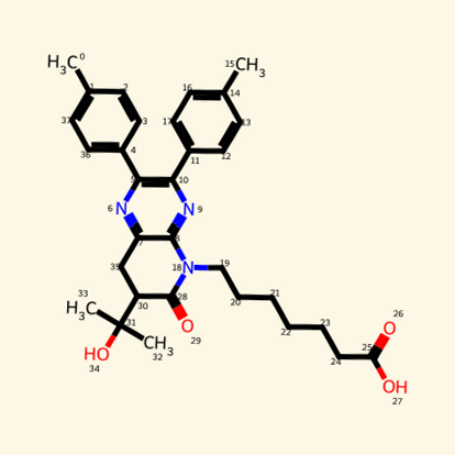 Cc1ccc(-c2nc3c(nc2-c2ccc(C)cc2)N(CCCCCCC(=O)O)C(=O)C(C(C)(C)O)C3)cc1